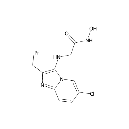 CC(C)Cc1nc2ccc(Cl)cn2c1NCC(=O)NO